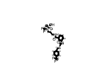 O=C(NCCCN(C(F)(F)F)S(=O)(=O)O)c1cccc2nc(SCc3ccc(C(F)(F)F)cc3)oc12